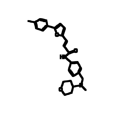 Cc1ccc(-c2ccc(C=CC(=O)Nc3ccc(CN(C)C4CCOCC4)cc3)o2)cc1